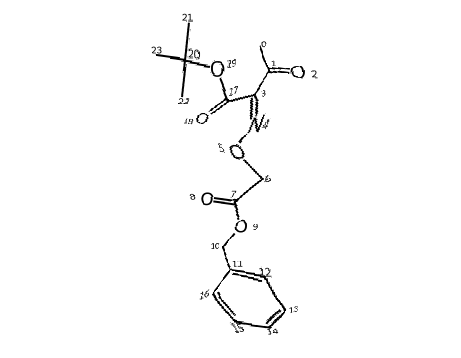 CC(=O)/C(=N/OCC(=O)OCc1ccccc1)C(=O)OC(C)(C)C